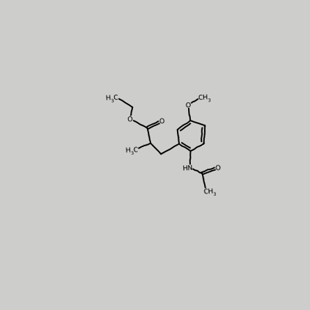 CCOC(=O)C(C)Cc1cc(OC)ccc1NC(C)=O